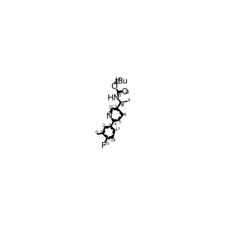 Cc1cc(-c2ccc([C@H](C)NC(=O)OC(C)(C)C)cn2)ccc1F